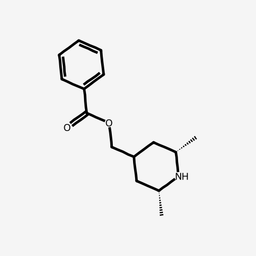 C[C@@H]1CC(COC(=O)c2ccccc2)C[C@H](C)N1